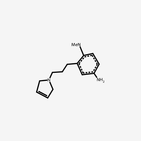 CNc1ccc(N)cc1CCCN1CC=CC1